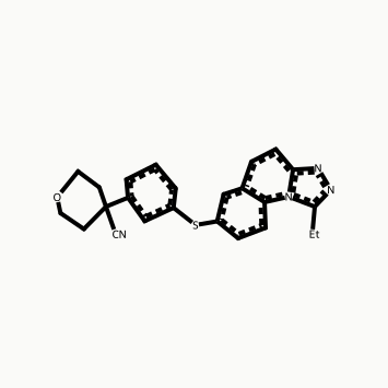 CCc1nnc2ccc3cc(Sc4cccc(C5(C#N)CCOCC5)c4)ccc3n12